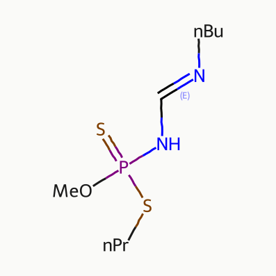 CCCC/N=C/NP(=S)(OC)SCCC